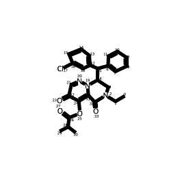 CCN1CC(C(c2ccccc2)c2cccc(Cl)c2)n2ncc(=O)c(OC(=O)C(C)C)c2C1=O